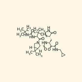 CC(C)(C)NC(=O)N[C@H](C(=O)N1C[C@H]2[C@@H]([C@H]1C(=O)N[C@@H](C[C@@H]1CCNC1=O)C(=O)C(=O)NCC1CC1)C2(C)C)C(C)(C)C